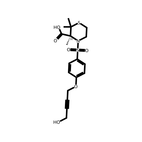 CC1(C)SCCN(S(=O)(=O)c2ccc(OCC#CCO)cc2)[C@@]1(C)C(=O)O